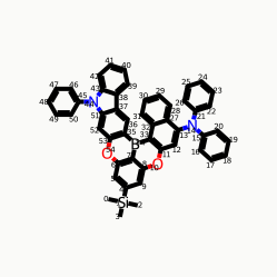 C[Si](C)(C)c1cc2c3c(c1)Oc1cc(N(c4ccccc4)c4ccccc4)c4ccccc4c1B3c1cc3c4ccccc4n(-c4ccccc4)c3cc1O2